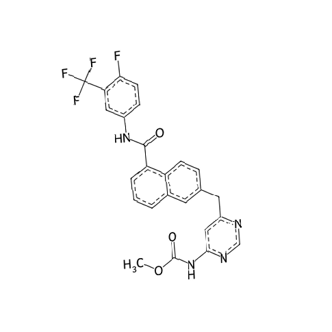 COC(=O)Nc1cc(Cc2ccc3c(C(=O)Nc4ccc(F)c(C(F)(F)F)c4)cccc3c2)ncn1